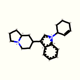 C1=CC(n2cc(C3CCN4CCCC4C3)c3ccccc32)CCC1